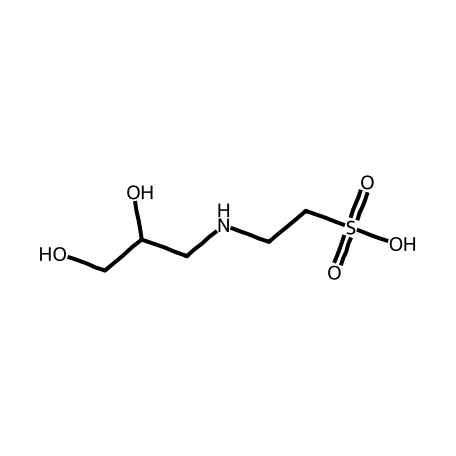 O=S(=O)(O)CCNCC(O)CO